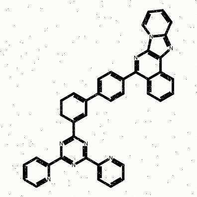 C1=C(c2ccc(-c3nc4c(nc5ccccn54)c4ccccc34)cc2)C=C(c2nc(-c3ccccn3)nc(-c3ccccn3)n2)CC1